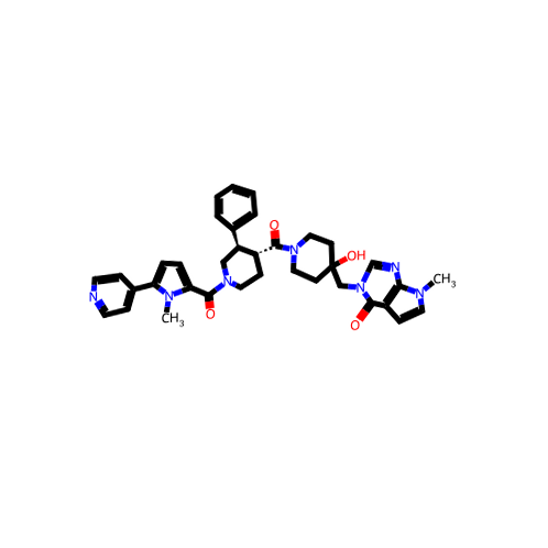 Cn1c(C(=O)N2CC[C@@H](C(=O)N3CCC(O)(Cn4cnc5c(ccn5C)c4=O)CC3)[C@H](c3ccccc3)C2)ccc1-c1ccncc1